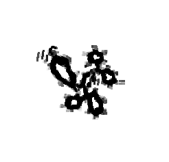 Cc1ccc(OC2=CN(C(c3ccccc3)c3ccccc3)PN2C(c2ccccc2)c2ccccc2)cc1